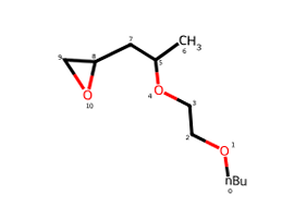 CCCCOCCOC(C)CC1CO1